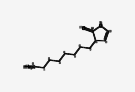 CCCCCCCCCCCCCCC1C=COC1=O